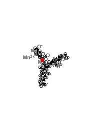 O=P([O][Mo](=[O])(=[O])[O][Mo](=[O])(=[O])[O][Mo](=[O])(=[O])[O][Mo](=[O])(=[O])[O-])([O][Mo](=[O])(=[O])[O][Mo](=[O])(=[O])[O][Mo](=[O])(=[O])[O][Mo](=[O])(=[O])[O-])[O][Mo](=[O])(=[O])[O][Mo](=[O])(=[O])[O][Mo](=[O])(=[O])[O][Mo](=[O])(=[O])[O-].[Mn+2]